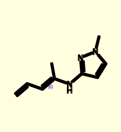 C=C/C=C(\C)Nc1ccn(C)n1